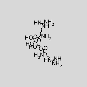 N=C(N)NCCCC(N)C(=O)OCC(O)C(OC(=O)C(N)CCCNC(=N)N)C(O)CO